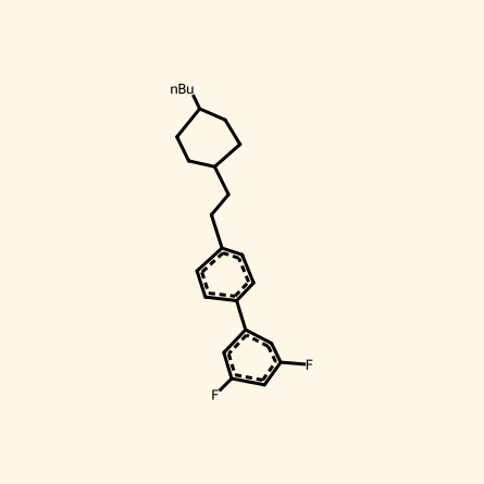 CCCCC1CCC(CCc2ccc(-c3cc(F)cc(F)c3)cc2)CC1